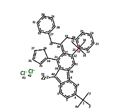 CC(C)(C)c1ccc2c(c1)=c1cc(C(C)(C)C)c(=C(Cc3ccccc3)Cc3ccccc3)c(C3=CC=CC3)c1[C]=2[Zr+2].[Cl-].[Cl-]